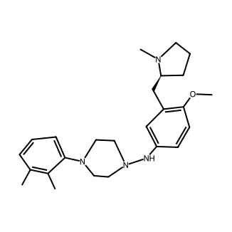 COc1ccc(NN2CCN(c3cccc(C)c3C)CC2)cc1C[C@@H]1CCCN1C